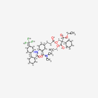 CCOC(=O)C(COC(=O)CCc1ccc(NC(=O)c2ccccc2-c2ccc(C(F)(F)F)cc2)c(C(=O)N(C)C)c1)(C(=O)OCC)c1ccccc1